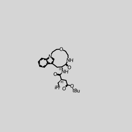 CC(C)C[C@H](CC(=O)OC(C)(C)C)C(=O)N[C@H]1Cc2cn(c3ccccc23)CCOCCNC1=O